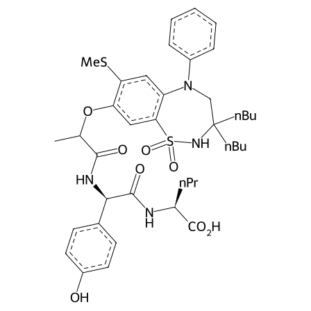 CCCCC1(CCCC)CN(c2ccccc2)c2cc(SC)c(OC(C)C(=O)N[C@@H](C(=O)N[C@@H](CCC)C(=O)O)c3ccc(O)cc3)cc2S(=O)(=O)N1